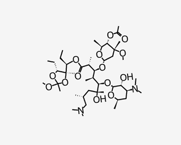 CC[C@@H](OC(=O)[C@H](C)[C@@H](O[C@H]1C[C@@](C)(OC)[C@@H](OC(C)=O)[C@H](C)O1)[C@H](C)[C@@H](O[C@@H]1O[C@H](C)C[C@H](N(C)C)[C@H]1O)[C@](C)(O)C[C@@H](C)CN(C)C)[C@@]1(C)OC(C)(OC)O[C@@H]1CC